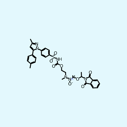 Cc1ccc(-c2cc(C)nn2-c2ccc(S(=O)(=O)NC(=O)OCCN(C)/[N+]([O-])=N/OC(C)N3C(=O)c4ccccc4C3=O)cc2)cc1